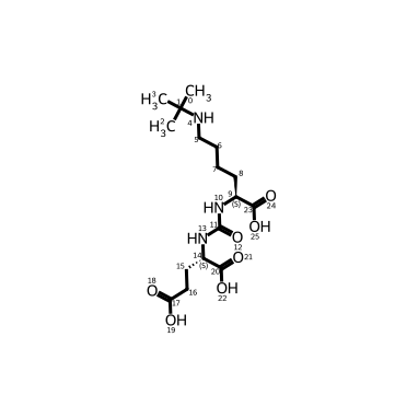 CC(C)(C)NCCCC[C@H](NC(=O)N[C@@H](CCC(=O)O)C(=O)O)C(=O)O